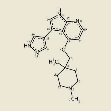 CN1CCC(C)(COc2ccnc3[nH]cc(-c4cn[nH]c4)c23)CC1